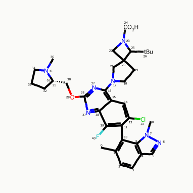 Cc1ccc2cnn(C)c2c1-c1c(Cl)cc2c(N3CCC4(C3)CN(C(=O)O)C4C(C)(C)C)nc(OC[C@@H]3CCCN3C)nc2c1F